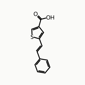 O=C(O)c1csc(C=Cc2ccccc2)c1